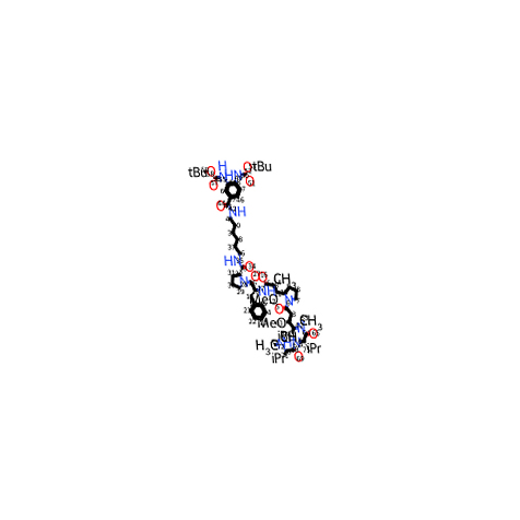 CCC(C)C(C(CC(=O)N1CCCC1C(OC)C(C)C(=O)N[C@@H](Cc1ccccc1)C(=O)N1CCC[C@@H]1C(=O)NCCCCCCNC(=O)c1ccc(NC(=O)OC(C)(C)C)c(NC(=O)OC(C)(C)C)c1)OC)N(C)C(=O)[C@@H](NC(=O)C(C(C)C)N(C)C)C(C)C